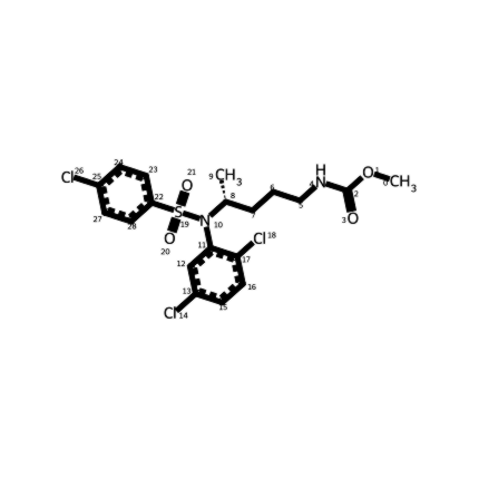 COC(=O)NCCC[C@@H](C)N(c1cc(Cl)ccc1Cl)S(=O)(=O)c1ccc(Cl)cc1